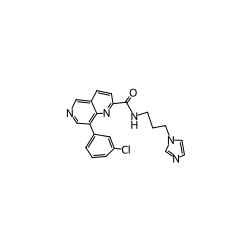 O=C(NCCCn1ccnc1)c1ccc2cncc(-c3cccc(Cl)c3)c2n1